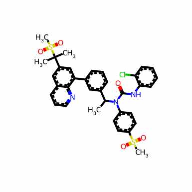 CC(c1cccc(-c2cc(C(C)(C)S(C)(=O)=O)cc3cccnc23)c1)N(C(=O)Nc1ccccc1Cl)c1ccc(S(C)(=O)=O)cc1